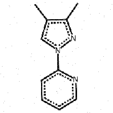 Cc1cn(-c2ccccn2)nc1C